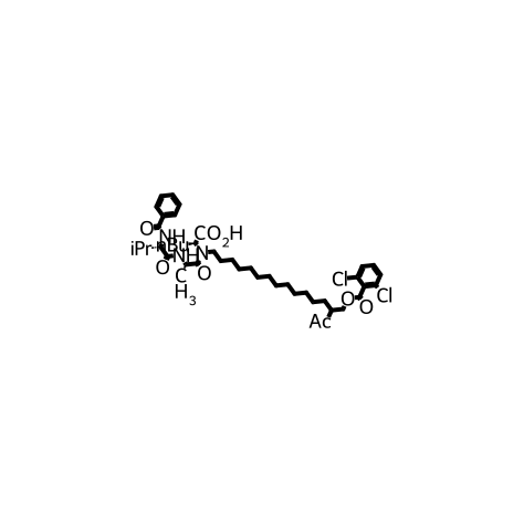 CCCC[C@@H](C(=O)O)N(CCCCCCCCCCCCCC(COC(=O)c1c(Cl)cccc1Cl)C(C)=O)C(=O)[C@H](C)NC(=O)[C@@H](NC(=O)c1ccccc1)C(C)C